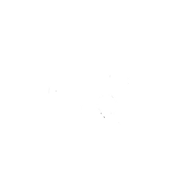 CCSC(SCC)c1cc(Cl)nc(OCCO)c1